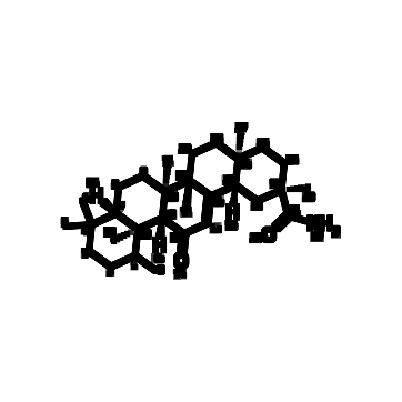 CC1CCC(C)(C)[C@@H]2CC[C@]3(C)[C@H](C(=O)C=C4[C@@H]5C[C@](C)(C(N)=O)CC[C@]5(C)CC[C@]43C)[C@@]12C